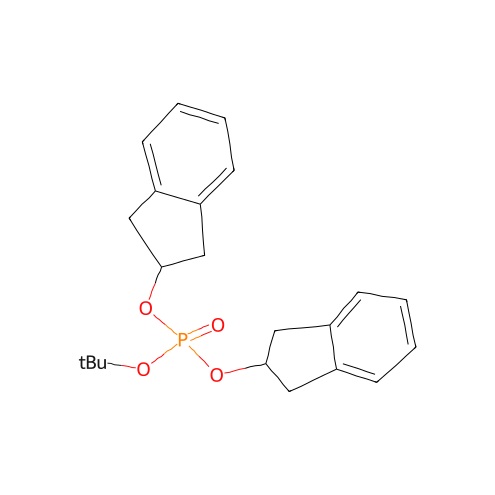 CC(C)(C)OP(=O)(OC1Cc2ccccc2C1)OC1Cc2ccccc2C1